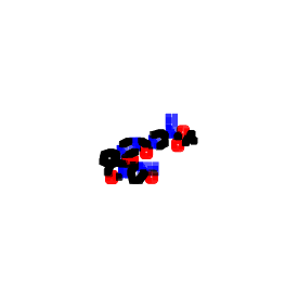 CC(C)(C)OC(=O)NC1CCN(C(=O)CN2CCN(c3cccc4c3C(=O)N(C3CCC(=O)NC3=O)COC4)CC2)CC1